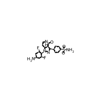 Nc1cc(F)c(-n2nc(-c3ccc(S(N)(=O)=O)cc3)c3c(=O)[nH]ccc32)c(F)c1